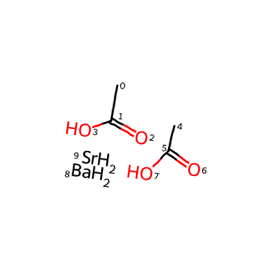 CC(=O)O.CC(=O)O.[BaH2].[SrH2]